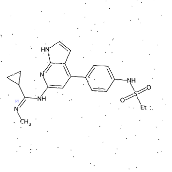 CCS(=O)(=O)Nc1ccc(-c2cc(N/C(=N\C)C3CC3)nc3[nH]ccc23)cc1